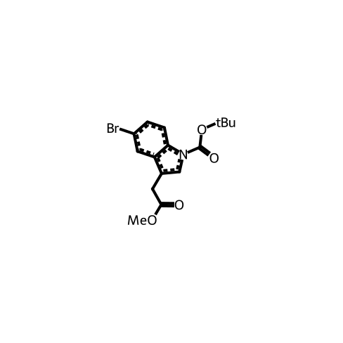 COC(=O)Cc1cn(C(=O)OC(C)(C)C)c2ccc(Br)cc12